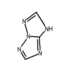 c1nc2[nH]cnn2n1